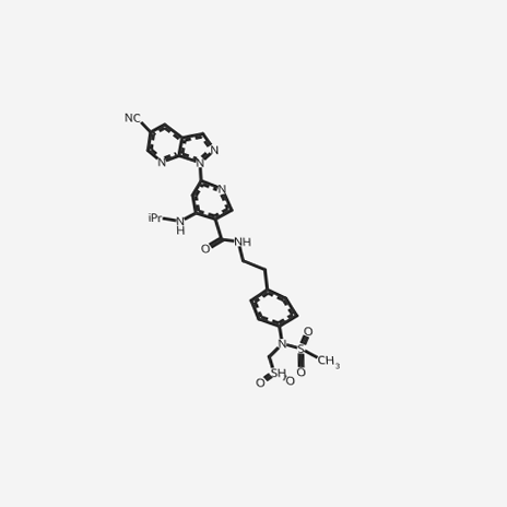 CC(C)Nc1cc(-n2ncc3cc(C#N)cnc32)ncc1C(=O)NCCc1ccc(N(C[SH](=O)=O)S(C)(=O)=O)cc1